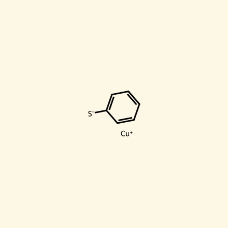 [Cu+].[S-]c1ccccc1